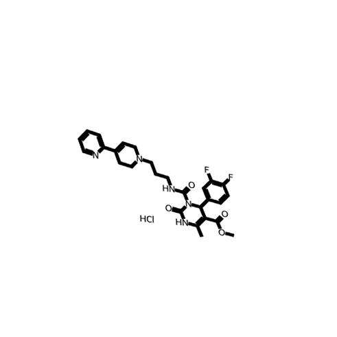 COC(=O)C1=C(C)NC(=O)N(C(=O)NCCCN2CC=C(c3ccccn3)CC2)C1c1ccc(F)c(F)c1.Cl